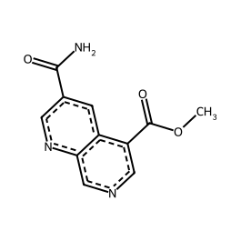 COC(=O)c1cncc2ncc(C(N)=O)cc12